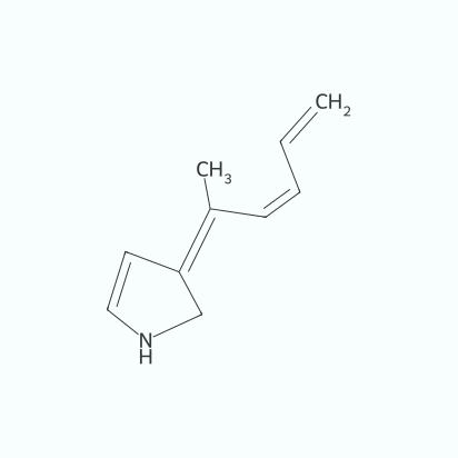 C=C/C=C\C(C)=C1\C=CNC1